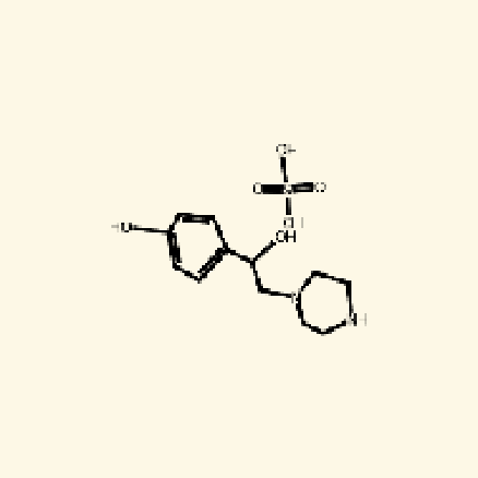 O=S(=O)(O)O.Oc1ccc(C(O)CN2CCNCC2)cc1